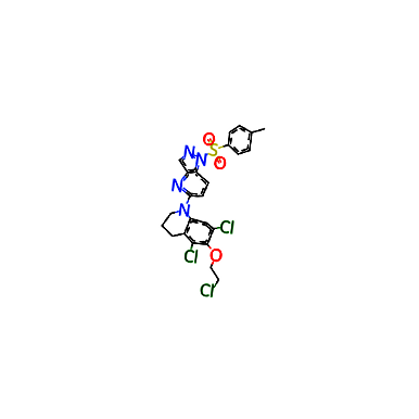 Cc1ccc(S(=O)(=O)n2ncc3nc(N4CCCc5c4cc(Cl)c(OCCCl)c5Cl)ccc32)cc1